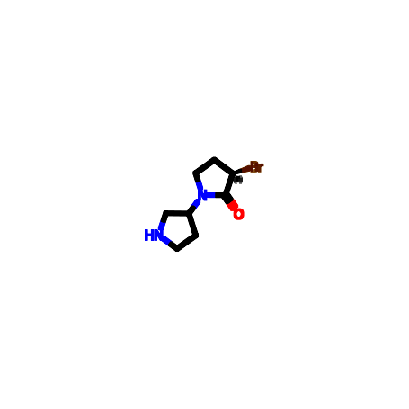 O=C1[C@H](Br)CCN1C1CCNC1